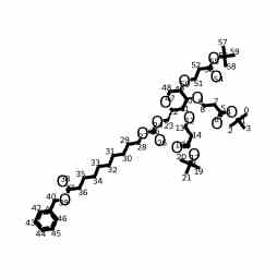 CC(C)(C)OC(=O)CCO[C@H]1[C@H](OCCC(=O)OC(C)(C)C)[C@@H](COC(=O)OCCCCCCCCCC(=O)OCc2ccccc2)OC[C@@H]1OCCC(=O)OC(C)(C)C